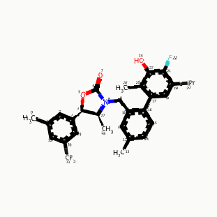 Cc1cc([C@H]2OC(=O)N(Cc3cc(C)ccc3-c3cc(C(C)C)c(F)c(O)c3C)[C@H]2C)cc(C(F)(F)F)c1